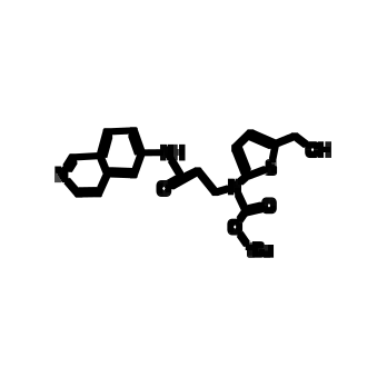 CC(C)(C)OC(=O)N(CCC(=O)Nc1ccc2cnccc2c1)c1ccc(CO)s1